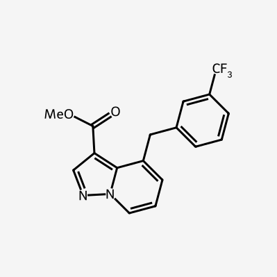 COC(=O)c1cnn2cccc(Cc3cccc(C(F)(F)F)c3)c12